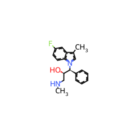 CNC[C@@H](O)[C@H](c1ccccc1)n1cc(C)c2cc(F)ccc21